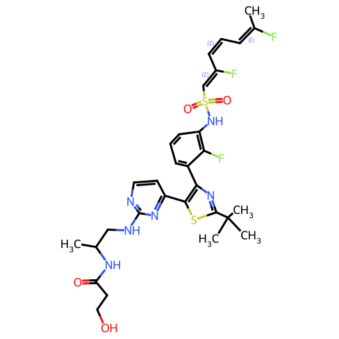 C\C(F)=C/C=C\C(F)=C\S(=O)(=O)Nc1cccc(-c2nc(C(C)(C)C)sc2-c2ccnc(NCC(C)NC(=O)CCO)n2)c1F